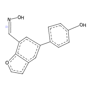 O/N=C\c1cc(-c2ccc(O)cc2)cc2ccoc12